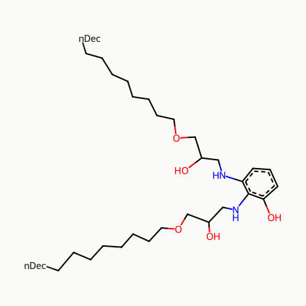 CCCCCCCCCCCCCCCCCCOCC(O)CNc1cccc(O)c1NCC(O)COCCCCCCCCCCCCCCCCCC